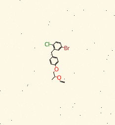 C=COC(C)COc1ccc(Cc2cc(Br)ccc2Cl)cc1